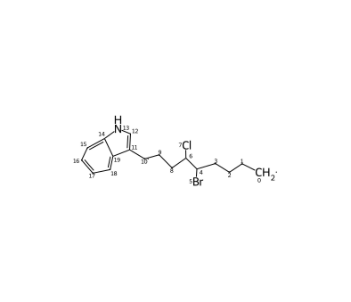 [CH2]CCCC(Br)C(Cl)CC[CH]c1c[nH]c2ccccc12